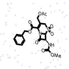 COC(=O)N[C@H]1C(=O)N2C(C(=O)OCc3ccccc3)=C(COC(C)=O)CS(=O)(=O)C12